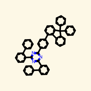 c1ccc(-c2ccccc2-c2nc(-c3ccc(-c4cccc5c4-c4ccccc4C5(c4ccccc4)c4ccccc4)cc3)nc(-c3ccccc3-c3ccccc3)n2)cc1